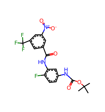 CC(C)(C)OC(=O)Nc1ccc(F)c(NC(=O)c2cc([N+](=O)[O-])cc(C(F)(F)F)c2)c1